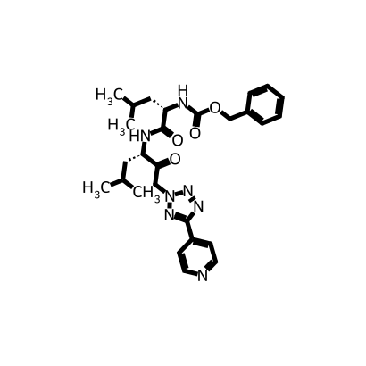 CC(C)C[C@H](NC(=O)[C@H](CC(C)C)NC(=O)OCc1ccccc1)C(=O)Cn1nnc(-c2ccncc2)n1